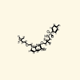 Cc1ccc(S(=O)(=O)NCC(F)(F)COc2nc3c(ccn3COCC[Si](C)(C)C)cc2Br)cc1